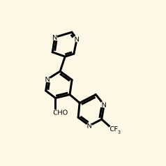 O=Cc1cnc(-c2cncnc2)cc1-c1cnc(C(F)(F)F)nc1